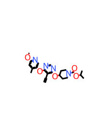 C#Cc1c(Oc2cnc(OC)cc2C)ncnc1OC1CCN(C(=O)OC(C)C)CC1